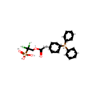 CC(C)(C)C(=O)OCC(F)(F)S(=O)(=O)[O-].c1ccc([S+](c2ccccc2)c2ccccc2)cc1